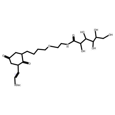 CCCCCCCCCC/C=C/C1CC(=O)CC(CCCCOCCNC(=O)C(O)C(O)C(O)C(O)CO)C1=O